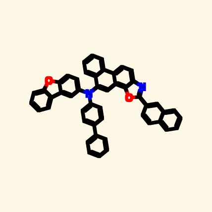 c1ccc(-c2ccc(N(c3ccc4oc5ccccc5c4c3)c3cc4c(ccc5nc(-c6ccc7ccccc7c6)oc54)c4ccccc34)cc2)cc1